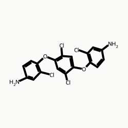 Nc1ccc(Oc2cc(Cl)c(Oc3ccc(N)cc3Cl)cc2Cl)c(Cl)c1